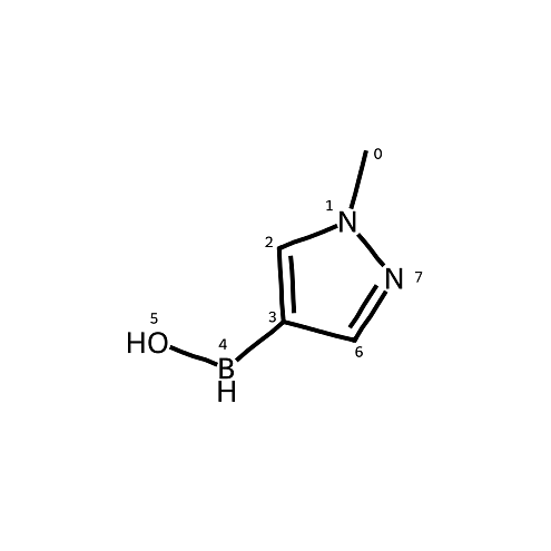 Cn1cc(BO)cn1